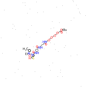 CCN(c1cccc(C)c1)C(O)Cn1c(C(=O)N[C@H]2CC[C@H](C(=O)NCCCCCC(=O)NCCOCCOCCOCCOCCC(=O)OC(C)(C)C)CC2)cc2sccc21